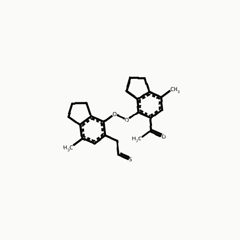 CC(=O)c1cc(C)c2c(c1OOc1c(CC=S)cc(C)c3c1CCC3)CCC2